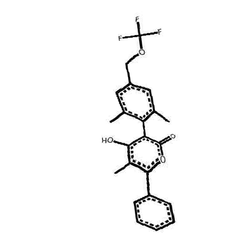 Cc1cc(COC(F)(F)F)cc(C)c1-c1c(O)c(C)c(-c2ccccc2)oc1=O